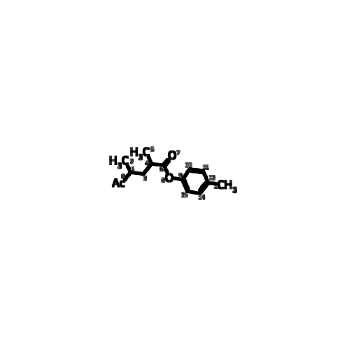 CC(=O)C(C)CC(C)C(=O)Oc1ccc(C)cc1